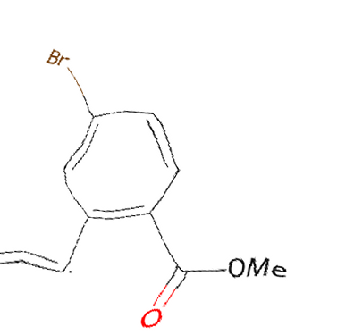 C=[C]c1cc(Br)ccc1C(=O)OC